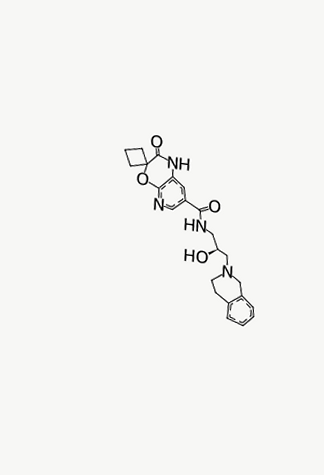 O=C(NC[C@H](O)CN1CCc2ccccc2C1)c1cnc2c(c1)NC(=O)C1(CCC1)O2